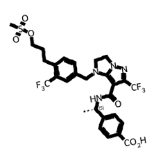 C[C@H](NC(=O)c1c(C(F)(F)F)nn2c1N(Cc1ccc(CCCOS(C)(=O)=O)c(C(F)(F)F)c1)CC2)c1ccc(C(=O)O)cc1